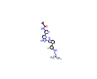 CN(C)CCNc1cc(F)cc(-c2cccc3[nH]c(-c4n[nH]c5ccc(-c6cncc(NC(=O)C7CC7)c6)nc45)cc23)c1